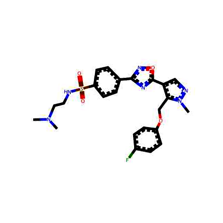 CN(C)CCNS(=O)(=O)c1ccc(-c2noc(-c3cnn(C)c3COc3ccc(F)cc3)n2)cc1